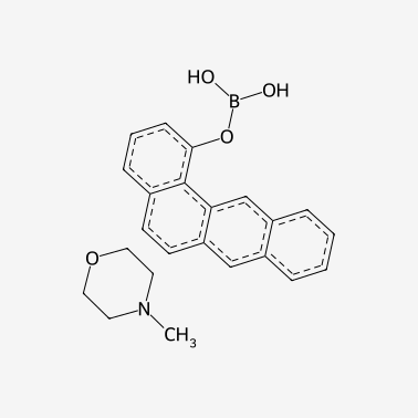 CN1CCOCC1.OB(O)Oc1cccc2ccc3cc4ccccc4cc3c12